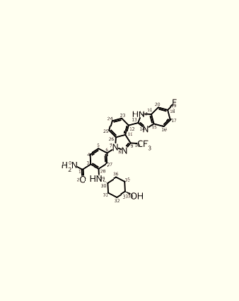 NC(=O)c1ccc(-n2nc(C(F)(F)F)c3c(-c4nc5ccc(F)cc5[nH]4)cccc32)cc1N[C@H]1CC[C@H](O)CC1